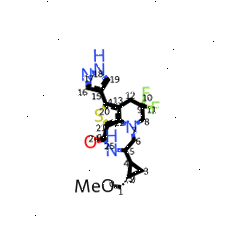 COC[C@H]1CC1C1CN2CC(F)(F)Cc3c(-c4cn[nH]c4)sc(c32)C(=O)N1